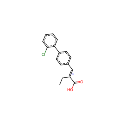 CC/C(=C\c1ccc(-c2ccccc2Cl)cc1)C(=O)O